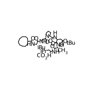 CCC(C)[C@H](NC(=O)C1CCCCCCCCC1)C(=O)NCC(=O)N1CCCC1C(=O)NC(CC(=O)OC(C)(C)C)C(=O)N[C@@H](C)C(=O)NC(CC(C)C)C(=O)O